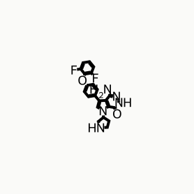 Nc1n[nH]c(=O)c2c1c(-c1ccc(Oc3c(F)cccc3F)cc1)cn2C1CCNC1